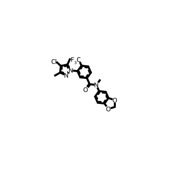 Cc1nn(-c2cc(C(=O)N(C)c3ccc4c(c3)OCO4)ccc2C(F)(F)F)c(C)c1Cl